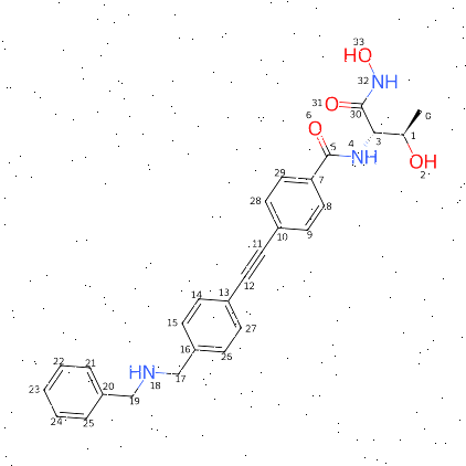 C[C@@H](O)[C@H](NC(=O)c1ccc(C#Cc2ccc(CNCc3ccccc3)cc2)cc1)C(=O)NO